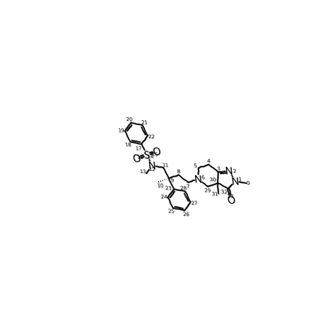 CN1N=C2CCN(CC[C@](C)(CN(C)S(=O)(=O)c3ccccc3)c3ccccc3)CC2(C)C1=O